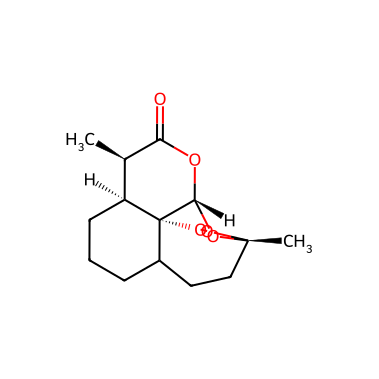 C[C@H]1C(=O)O[C@@H]2O[C@@]3(C)CCC4CCC[C@@H]1[C@]42OO3